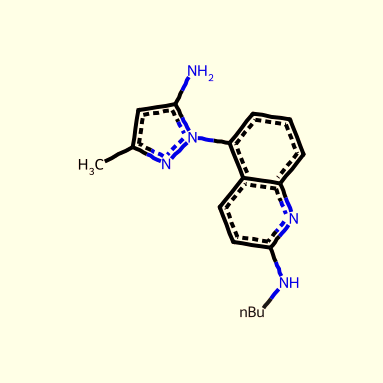 CCCCNc1ccc2c(-n3nc(C)cc3N)cccc2n1